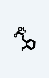 CC(=O)SCc1ccccc1I